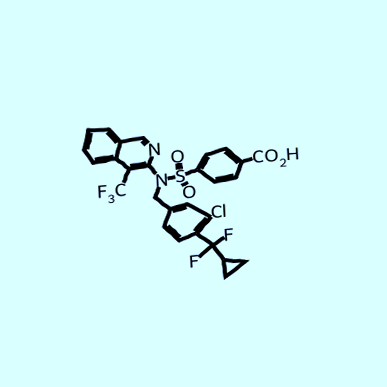 O=C(O)c1ccc(S(=O)(=O)N(Cc2ccc(C(F)(F)C3CC3)c(Cl)c2)c2ncc3ccccc3c2C(F)(F)F)cc1